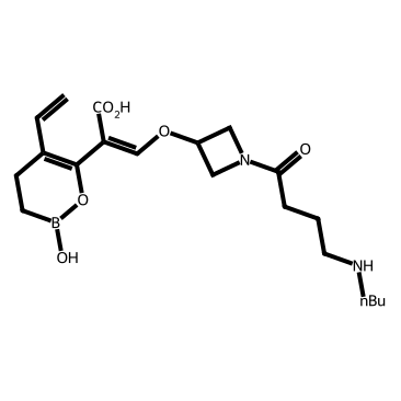 C=CC1=C(/C(=C/OC2CN(C(=O)CCCNCCCC)C2)C(=O)O)OB(O)CC1